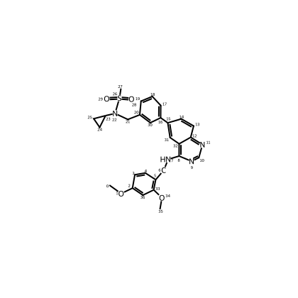 COc1ccc(CNc2ncnc3ccc(-c4cccc(CN(C5CC5)S(C)(=O)=O)c4)cc23)c(OC)c1